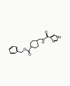 O=C(NCC1CCN(C(=O)OCc2ccccc2)CC1)c1c[nH]cn1